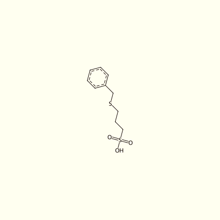 O=S(=O)(O)CCCSCc1ccccc1